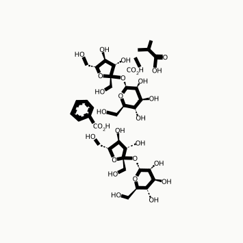 CC(=O)O.CC(C)C(=O)O.O=C(O)c1ccccc1.OC[C@H]1O[C@@](CO)(O[C@H]2O[C@H](CO)[C@@H](O)[C@H](O)[C@H]2O)[C@@H](O)[C@@H]1O.OC[C@H]1O[C@@](CO)(O[C@H]2O[C@H](CO)[C@@H](O)[C@H](O)[C@H]2O)[C@@H](O)[C@@H]1O